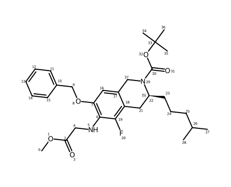 COC(=O)CNc1c(OCc2ccccc2)cc2c(c1F)C[C@H](CCCC(C)C)N(C(=O)OC(C)(C)C)C2